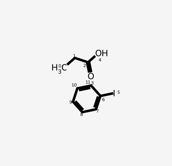 CCC(=O)O.Ic1ccccc1